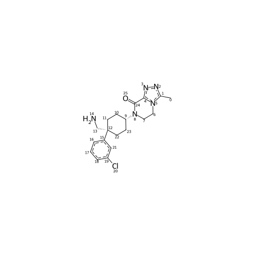 Cc1nnc2n1CCN([C@H]1CC[C@](CN)(c3cccc(Cl)c3)CC1)C2=O